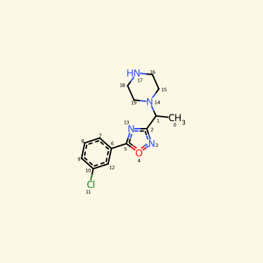 CC(c1noc(-c2cccc(Cl)c2)n1)N1CCNCC1